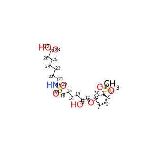 CS(=O)(=O)c1cccc(OCC(O)CCCCS(=O)(=O)NCCCCCCC(=O)O)c1